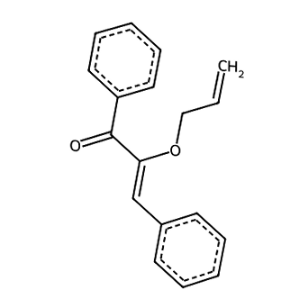 C=CCOC(=Cc1ccccc1)C(=O)c1ccccc1